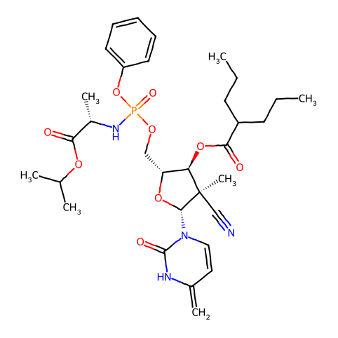 C=C1C=CN([C@@H]2O[C@H](COP(=O)(N[C@@H](C)C(=O)OC(C)C)Oc3ccccc3)[C@@H](OC(=O)C(CCC)CCC)[C@@]2(C)C#N)C(=O)N1